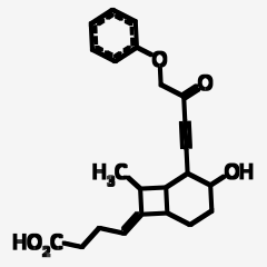 CC1C(=CCCC(=O)O)C2CCC(O)C(C#CC(=O)COc3ccccc3)C12